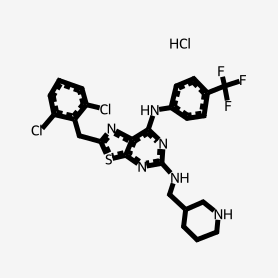 Cl.FC(F)(F)c1ccc(Nc2nc(NCC3CCCNC3)nc3sc(Cc4c(Cl)cccc4Cl)nc23)cc1